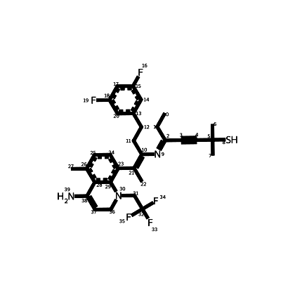 CC/C(C#CC(C)(C)S)=N\C(CCc1cc(F)cc(F)c1)=C(/C)c1ccc(C)c2c1N(CC(F)(F)F)CC=C2N